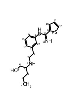 CCCC(CO)NCCc1cccc(NC(=N)c2cccs2)c1